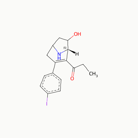 CCC(=O)C1=C(c2ccc(I)cc2)CC2CC(O)[C@H]1N2